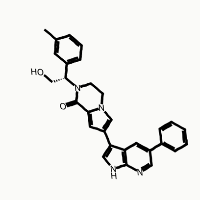 Cc1cccc([C@@H](CO)N2CCn3cc(-c4c[nH]c5ncc(-c6ccccc6)cc45)cc3C2=O)c1